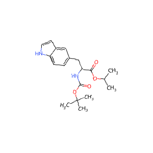 CC(C)OC(=O)C(Cc1ccc2[nH]ccc2c1)NC(=O)OC(C)(C)C